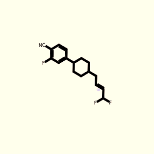 N#Cc1ccc(C2CCC(C/C=C/C(F)F)CC2)cc1F